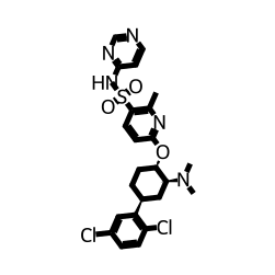 Cc1nc(O[C@H]2CC[C@H](c3cc(Cl)ccc3Cl)C[C@@H]2N(C)C)ccc1S(=O)(=O)Nc1ccncn1